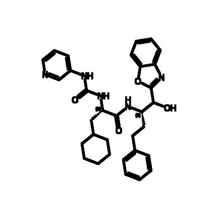 O=C(Nc1cccnc1)N[C@@H](CC1CCCCC1)C(=O)N[C@@H](CCc1ccccc1)C(O)c1nc2ccccc2o1